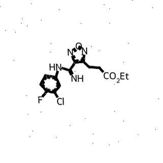 CCOC(=O)CCc1nonc1C(=N)Nc1ccc(F)c(Cl)c1